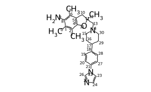 Cc1c(C)c2c(c(C)c1N)CC(C)(CN1CCC(c3ccc(-n4ccnc4)cc3)CC1)O2